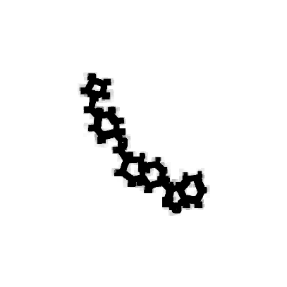 c1ccc2c(N3CCN4CC(COc5ccc(CN6CCCC6)cc5)CCC4C3)noc2c1